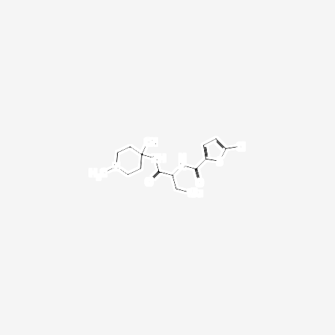 CN1CCC(C#N)(NC(=O)C(CC(C)(C)C)NC(=O)c2ccc(Cl)s2)CC1